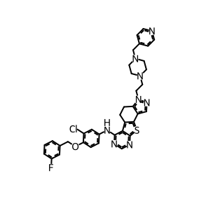 Fc1cccc(COc2ccc(Nc3ncnc4sc5c(c34)CCc3c-5cnn3CCN3CCN(Cc4ccncc4)CC3)cc2Cl)c1